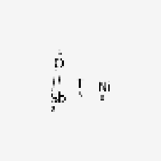 [Ni].[O]=[Sb].[Ti]